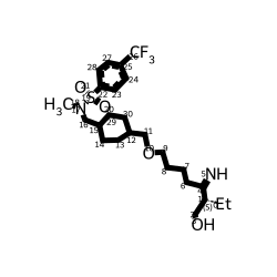 CC[C@H](CO)C(=N)CCCCOCC1CCC(CN(C)S(=O)(=O)c2ccc(C(F)(F)F)cc2)CC1